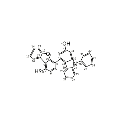 Oc1cc(-c2ccc(S)c3c2oc2ccccc23)c2c3ccccc3n(-c3ccccc3)c2c1